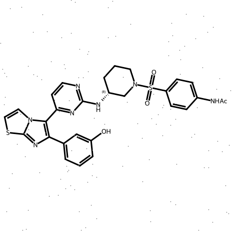 CC(=O)Nc1ccc(S(=O)(=O)N2CCC[C@@H](Nc3nccc(-c4c(-c5cccc(O)c5)nc5sccn45)n3)C2)cc1